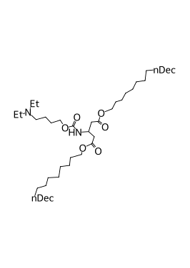 CCCCCCCCCCCCCCCCCCOC(=O)CC(CC(=O)OCCCCCCCCCCCCCCCCCC)NC(=O)OCCCCN(CC)CC